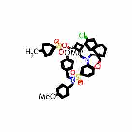 COc1ccc(CN(Cc2ccc(OC)cc2)S(=O)(=O)c2ccc3c(c2)N(C[C@@H]2CC[C@H]2COS(=O)(=O)c2ccc(C)cc2)C[C@@]2(CCCc4cc(Cl)ccc42)CO3)cc1